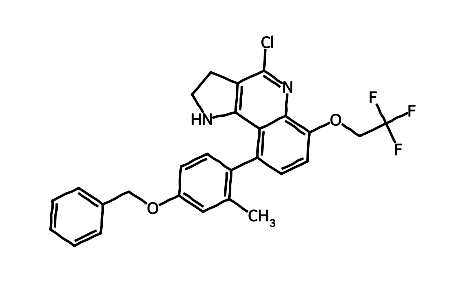 Cc1cc(OCc2ccccc2)ccc1-c1ccc(OCC(F)(F)F)c2nc(Cl)c3c(c12)NCC3